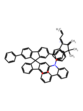 C=C/C=C1\C(=C)C(C)(C)c2cc(N(c3ccc4c(c3)C3(c5ccccc5-4)c4cc(-c5ccccc5)ccc4-c4ccc(-c5ccccc5)cc43)c3ccccc3-c3ccccc3)ccc21